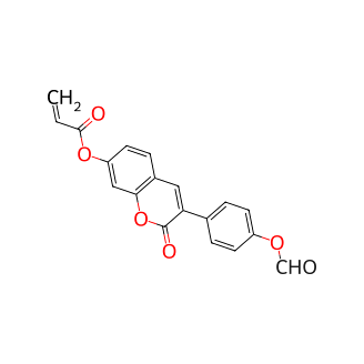 C=CC(=O)Oc1ccc2cc(-c3ccc(OC=O)cc3)c(=O)oc2c1